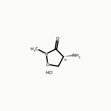 CN1OC[C@@H](N)C1=O.Cl